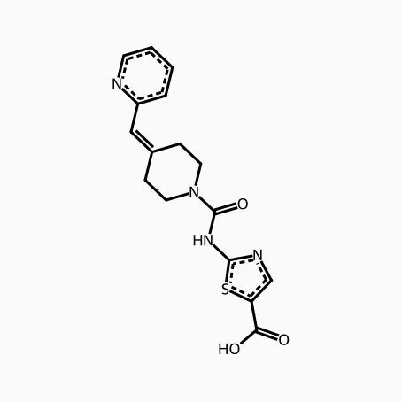 O=C(O)c1cnc(NC(=O)N2CCC(=Cc3ccccn3)CC2)s1